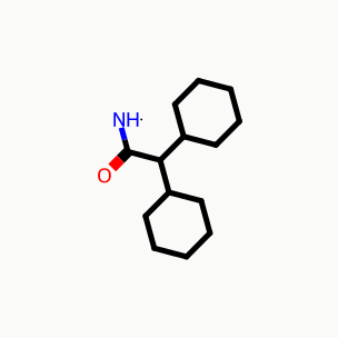 [NH]C(=O)C(C1CCCCC1)C1CCCCC1